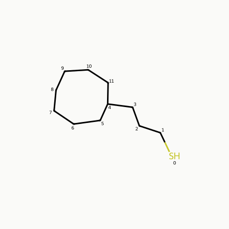 SCCCC1CCCCCCC1